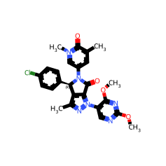 COc1ncc(-n2nc(C)c3c2C(=O)N(c2cc(C)c(=O)n(C)c2)[C@@H]3c2ccc(Cl)cc2)c(OC)n1